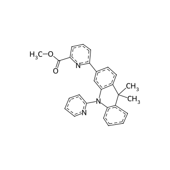 COC(=O)c1cccc(-c2ccc3c(c2)N(c2ccccn2)c2ccccc2C3(C)C)n1